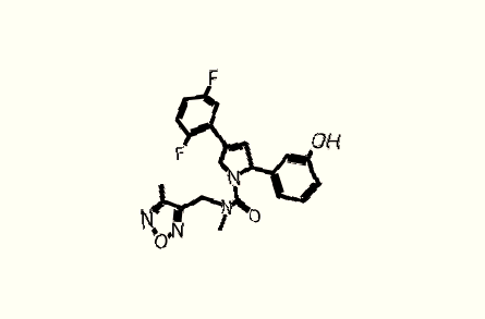 Cc1nonc1CN(C)C(=O)N1CC(c2cc(F)ccc2F)=CC1c1cccc(O)c1